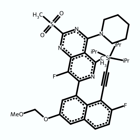 COCOc1cc(-c2nc(C)c3c(N4CCCCC4)nc(S(C)(=O)=O)nc3c2F)c2c(C#C[Si](C(C)C)(C(C)C)C(C)C)c(F)ccc2c1